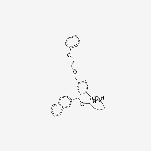 O=C(O)N1C2CCC1C(OCc1ccc3ccccc3c1)C(c1ccc(COCCOc3ccccc3)cc1)C2